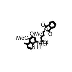 CCC(CCCN1C(=O)c2ccccc2C1=O)Nc1cc(OC)c(OC)c2c(C)ccnc12.Cl